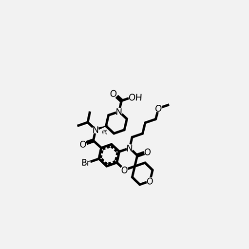 COCCCCN1C(=O)C2(CCOCC2)Oc2cc(Br)c(C(=O)N(C(C)C)[C@@H]3CCCN(C(=O)O)C3)cc21